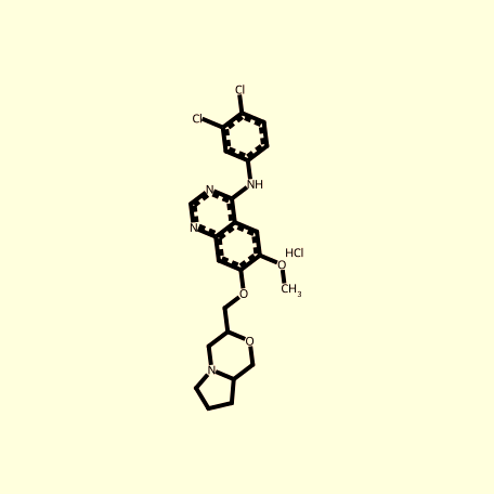 COc1cc2c(Nc3ccc(Cl)c(Cl)c3)ncnc2cc1OCC1CN2CCCC2CO1.Cl